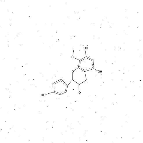 COc1c(O)cc(O)c2c1OC(c1ccc(O)cc1)C(=O)C2